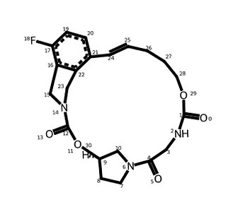 O=C1NCC(=O)N2CC[C@H](C2)OC(=O)N2Cc3c(F)ccc(c3C2)/C=C/CCCO1